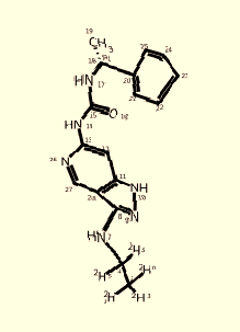 [2H]C([2H])([2H])C([2H])([2H])Nc1n[nH]c2cc(NC(=O)N[C@H](C)c3ccccc3)ncc12